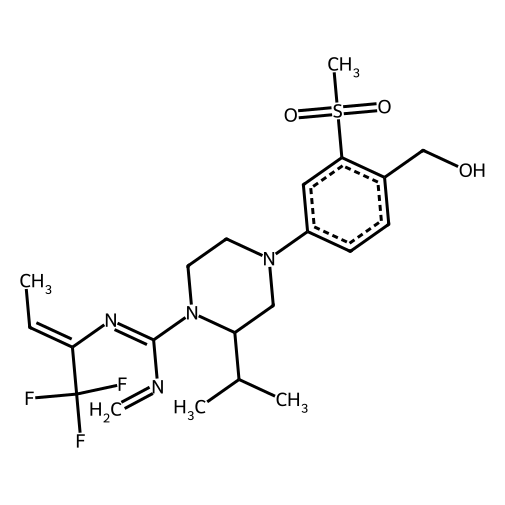 C=N/C(=N\C(=C/C)C(F)(F)F)N1CCN(c2ccc(CO)c(S(C)(=O)=O)c2)CC1C(C)C